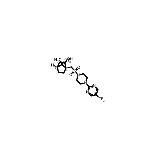 CC1(C)[C@@H]2CC[C@@]1(CS(=O)(=O)N1CCN(c3ncc(C(F)(F)F)cn3)CC1)C(O)C2